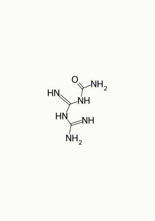 N=C(N)NC(=N)NC(N)=O